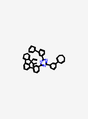 C=CC1(C(=C)C)C2=CCCC=C2c2cccc(-c3cccc(-c4nc(-c5cccc(C6=CCCCC=C6)c5)nc(-c5cccc(-c6ccccc6)c5)n4)c3)c21